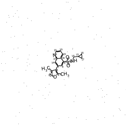 Cc1noc(C)c1-c1cc(S(=O)(=O)NCC2CC2)c2cccnc2c1